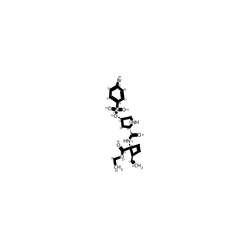 C=C[C@@H]1C=C[C@]1(NC(=O)[C@@H]1C[C@H](OS(=O)(=O)c2ccc(Br)cc2)CN1)C(=O)OCC